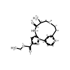 CCOC(=O)c1cc2n(n1)-c1ccnc(c1)CCCCC(C)C(=O)N2